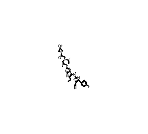 CCc1nc2sc(N3C[C@@H](C)N(CC(=O)N4CC(O)C4)C[C@@H]3C)nn2c1N(C)c1nc(-c2ccc(F)cc2)c(C#N)s1